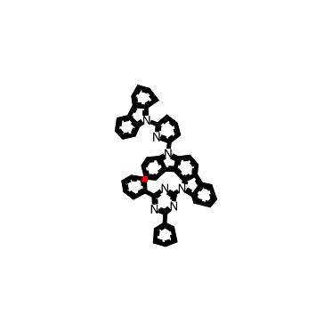 c1ccc(-c2nc(-c3ccccc3)nc(-n3c4ccccc4c4ccc5c(c6ccccc6n5-c5cccc(-n6c7ccccc7c7ccccc76)n5)c43)n2)cc1